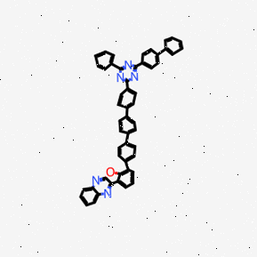 c1ccc(-c2ccc(-c3nc(-c4ccccc4)nc(-c4ccc(-c5ccc(-c6ccc(-c7cccc8c7oc7nc9ccccc9nc78)cc6)cc5)cc4)n3)cc2)cc1